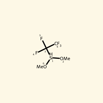 CO[SiH](OC)C(F)(F)C(F)(F)F